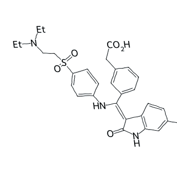 CCN(CC)CCS(=O)(=O)c1ccc(N/C(=C2\C(=O)Nc3cc(Cl)ccc32)c2cccc(CC(=O)O)c2)cc1